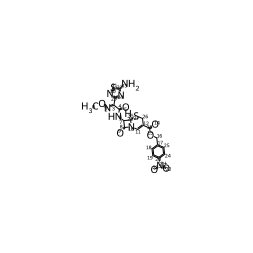 CON=C(C(=O)NC1C(=O)N2C=C(C(=O)OCc3ccc([N+](=O)[O-])cc3)CS[C@H]12)c1nsc(N)n1